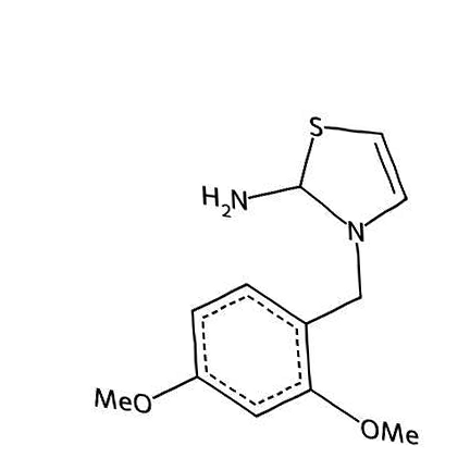 COc1ccc(CN2C=CSC2N)c(OC)c1